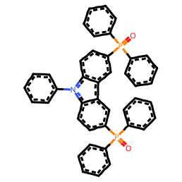 O=P(c1ccccc1)(c1ccccc1)c1ccc2c(c1)c1cc(P(=O)(c3ccccc3)c3ccccc3)ccc1n2-c1ccccc1